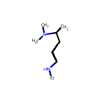 [CH2]C(CCCNCC)N(C)C